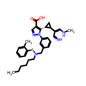 CCCCCCN(Cc1cccc(-n2ncc(C(=O)O)c2[C@@H]2CC2/C(C=N)=C/NC)c1)Sc1ccccc1C